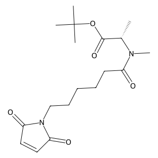 C[C@@H](C(=O)OC(C)(C)C)N(C)C(=O)CCCCCN1C(=O)C=CC1=O